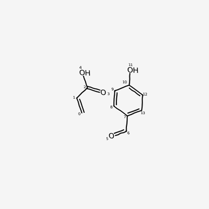 C=CC(=O)O.O=Cc1ccc(O)cc1